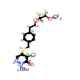 CC(C)(C)n1ncc(SCc2ccc(CCOC(F)(F)C(F)OC(F)(F)F)cc2)c(Cl)c1=O